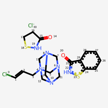 ClC=CC[N+]12CN3CN(CN(C3)C1)C2.O=C1CCSN1.O=c1[nH]sc2ccccc12.[Cl-]